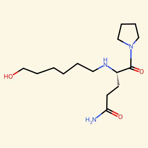 NC(=O)CC[C@H](NCCCCCCO)C(=O)N1CCCC1